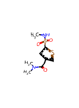 CNS(=O)(=O)c1cc(C(=O)N(C)C)cs1